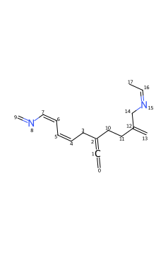 C=C=C(C/C=C\C=C/N=C)CCC(=C)C/N=C\C